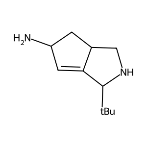 CC(C)(C)C1NCC2CC(N)C=C21